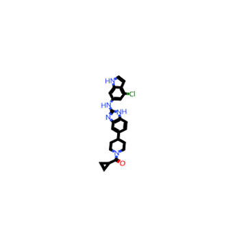 O=C(C1CC1)N1CCC(c2ccc3[nH]c(Nc4cc(Cl)c5cc[nH]c5c4)nc3c2)CC1